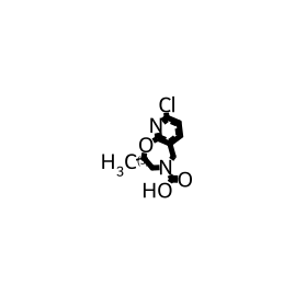 C[C@H]1CN(C(=O)O)Cc2ccc(Cl)nc2O1